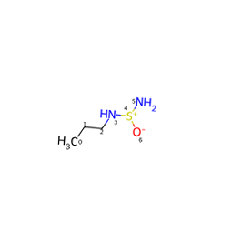 CCCN[S+](N)[O-]